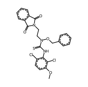 COc1ccc(Cl)c(NC(=S)N(CCN2C(=O)c3ccccc3C2=O)OCc2ccccc2)c1Cl